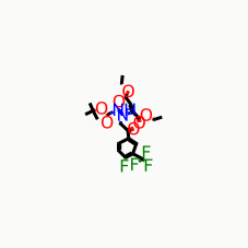 CCOC(=O)/C=C(/C(=O)OCC)N(CC(=O)c1ccc(F)c(C(F)(F)F)c1)NC(=O)OC(C)(C)C